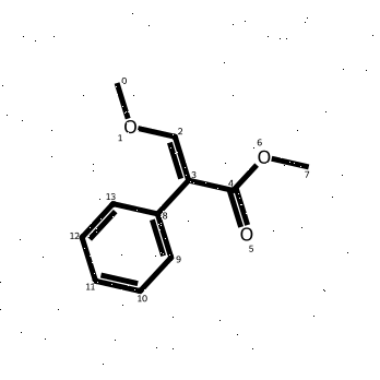 CO/C=C(/C(=O)OC)c1ccccc1